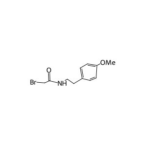 COc1ccc(CCNC(=O)CBr)cc1